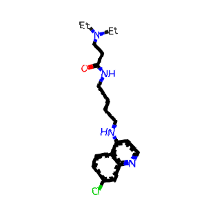 CCN(CC)CCC(=O)NCCCCNc1ccnc2cc(Cl)ccc12